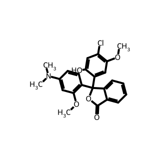 COc1cc(C2(c3ccc(N(C)C)cc3OC)OC(=O)c3ccccc32)c(O)cc1Cl